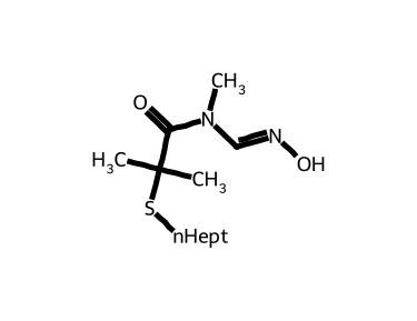 CCCCCCCSC(C)(C)C(=O)N(C)C=NO